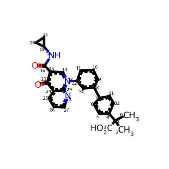 CC(C)(C(=O)O)c1ccc(-c2cccc(-n3cc(C(=O)NC4CC4)c(=O)c4cccnc43)c2)cc1